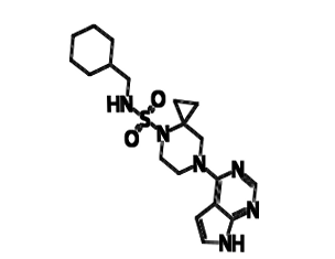 O=S(=O)(NCC1CCCCC1)N1CCN(c2ncnc3[nH]ccc23)CC12CC2